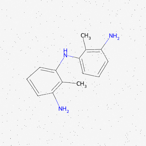 Cc1c(N)cccc1Nc1cccc(N)c1C